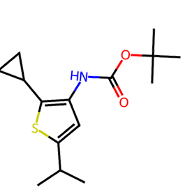 CC(C)c1cc(NC(=O)OC(C)(C)C)c(C2CC2)s1